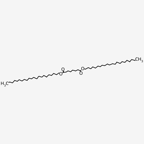 CCCCCCCCCCCCCCCCCCCCCCOC(=O)CCCCCCC(=O)OCCCCCCCCCCCCCCCCCCCCCC